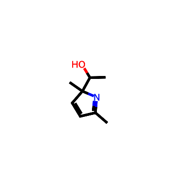 CC1=NC(C)(C(C)O)C=C1